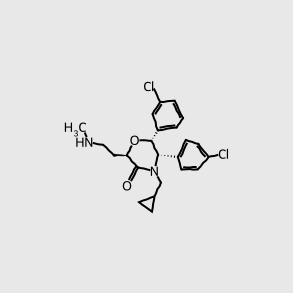 CNCC[C@H]1O[C@H](c2cccc(Cl)c2)[C@H](c2ccc(Cl)cc2)N(CC2CC2)C1=O